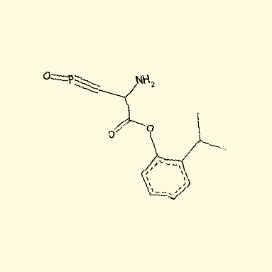 CC(C)c1ccccc1OC(=O)C(N)C#P=O